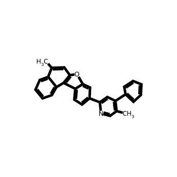 Cc1cnc(-c2ccc3c(c2)oc2cc(C)c4ccccc4c23)cc1-c1ccccc1